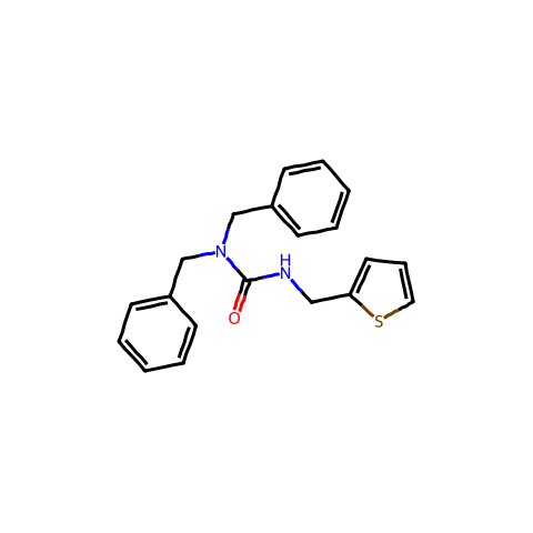 O=C(NCc1cccs1)N(Cc1ccccc1)Cc1ccccc1